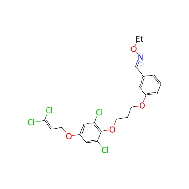 CCO/N=C/c1cccc(OCCCOc2c(Cl)cc(OCC=C(Cl)Cl)cc2Cl)c1